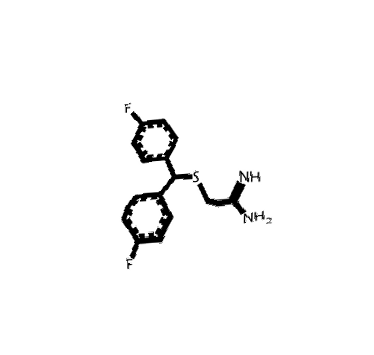 N=C(N)CSC(c1ccc(F)cc1)c1ccc(F)cc1